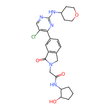 O=C(CN1Cc2ccc(-c3nc(NC4CCOCC4)ncc3Cl)cc2C1=O)NC1CCCC1O